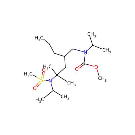 CCCC(CN(C(=O)OC)C(C)C)CC(C)(C)N(C(C)C)S(C)(=O)=O